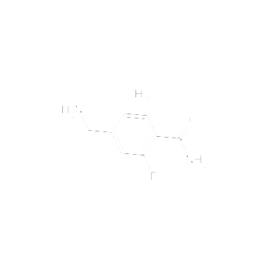 Cl.NCc1ccc(C(N)=O)c(F)c1